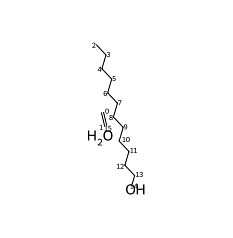 C=C.CCCCCCCCCCCCO.O